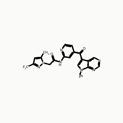 Cc1cc(C(F)(F)F)nn1CC(=O)Nc1cc(C(=O)c2cn(C(C)C)c3ncncc23)ccn1